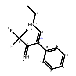 CCN/C=C(\C(=N)C(F)(F)F)c1ccccc1